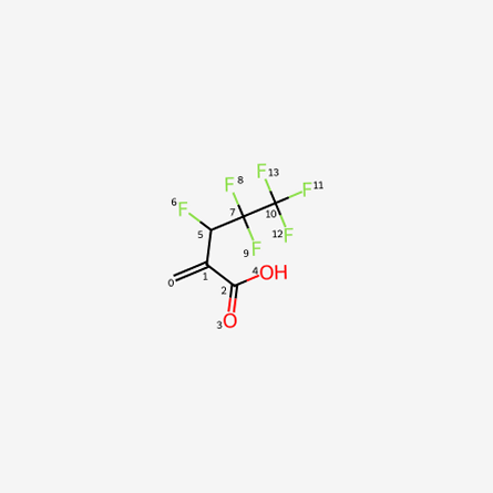 C=C(C(=O)O)C(F)C(F)(F)C(F)(F)F